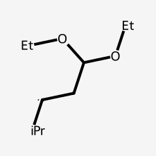 CCOC(C[CH]C(C)C)OCC